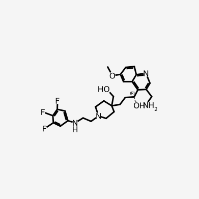 COc1ccc2ncc(CN)c([C@H](O)CCC3(CO)CCN(CCNc4cc(F)c(F)c(F)c4)CC3)c2c1